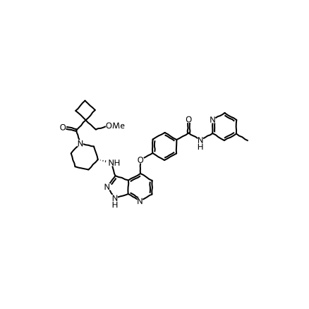 COCC1(C(=O)N2CCC[C@@H](Nc3n[nH]c4nccc(Oc5ccc(C(=O)Nc6cc(C)ccn6)cc5)c34)C2)CCC1